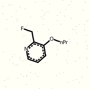 CCCOc1cccnc1CF